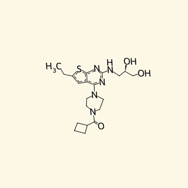 CCc1cc2c(N3CCN(C(=O)C4CCC4)CC3)nc(NC[C@@H](O)CO)nc2s1